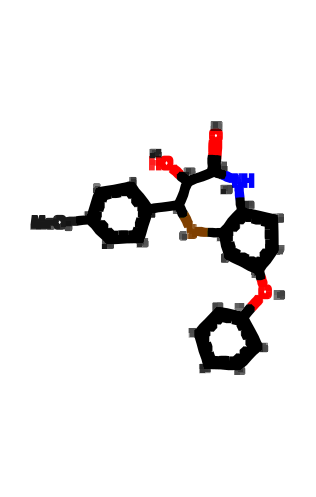 COc1ccc(C2Sc3cc(Oc4ccccc4)ccc3NC(=O)C2O)cc1